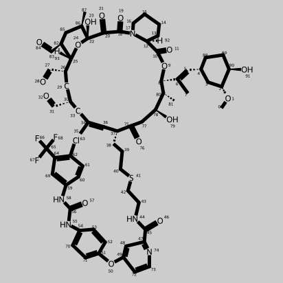 CO[C@@H]1C[C@H](/C=C(\C)[C@H]2OC(=O)[C@@H]3CCCCN3C(=O)C(=O)[C@]3(O)O[C@H]([C@@H](C=O)C[C@@H](C=O)C/C(C)=C/[C@@H](CCCSCCNC(=O)c4cc(Oc5ccc(NC(=O)Nc6ccc(Cl)c(C(F)(F)F)c6)cc5)ccn4)C(=O)C[C@H](O)[C@H]2C)[C@@H](C=O)C[C@H]3C)CC[C@H]1O